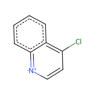 ClC1=c2ccccc2=[N+]C=C1